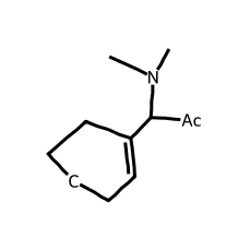 CC(=O)C(C1=CCCCC1)N(C)C